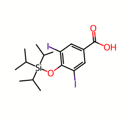 CC(C)[Si](Oc1c(I)cc(C(=O)O)cc1I)(C(C)C)C(C)C